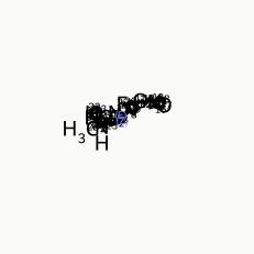 C=C(/C=C\C(=C/N)c1ccc(OCCN2CCOCC2)cc1F)CC(=O)N[C@H](C)C1CCCCC1